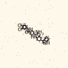 NC(=O)C(NC1CCC(c2c[nH]c3ccncc23)CC1)C1CCN(C(=O)Nc2ccc(Cl)c(Cl)c2)CC1